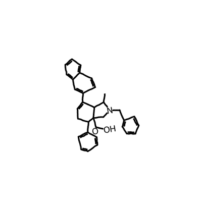 CC1C2C(c3ccc4ccccc4c3)=CCC(c3ccccc3)C2(C(=O)O)CN1Cc1ccccc1